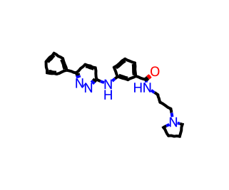 O=C(NCCCN1CCCC1)c1cccc(Nc2ccc(-c3ccccc3)nn2)c1